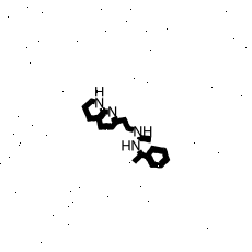 C=C(NCCc1ccc2c(n1)NCCC2)NC(C)c1ccccc1